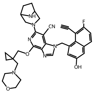 C#Cc1c(F)ccc2cc(O)cc(Cn3cnc4c(OCC5(CN6CCOCC6)CC5)nc(N5CC6CCC(C5)N6)c(C#N)c43)c12